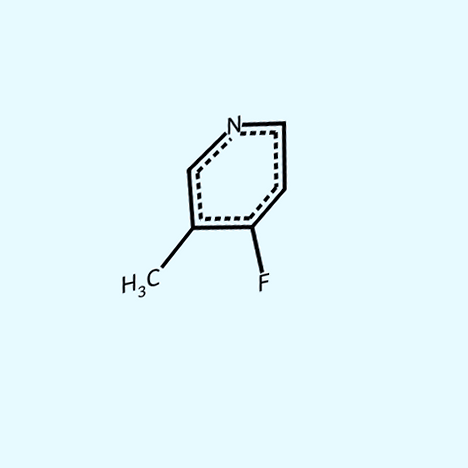 Cc1cnccc1F